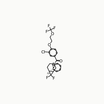 O=C(c1ccc(OCCOC(F)(F)F)c(Cl)c1)N1CC[C@@]2(c3ccccn3)C(C1)C2(F)F